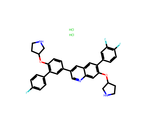 Cl.Cl.Fc1ccc(-c2cc(-c3cnc4cc(OC5CCNC5)c(-c5ccc(F)c(F)c5)cc4c3)ccc2OC2CCNC2)cc1